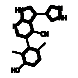 Cc1ccc(O)c(C)c1-c1cnc2[nH]cc(-c3cn[nH]c3)c2c1C#N